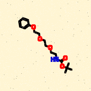 CC(C)(C)OC(=O)NCCOCCOCCOc1ccccc1